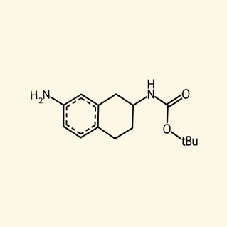 CC(C)(C)OC(=O)NC1CCc2ccc(N)cc2C1